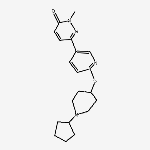 Cn1nc(-c2ccc(OC3CCN(C4CCCC4)CC3)nc2)ccc1=O